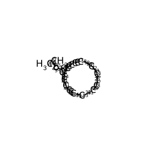 CN(C)C1CCC(C(=O)OC2CCCCCCCC/C=C\C/C=C\CCCCCCCCCCC/C=C\CCCCCCCC2)C1